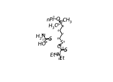 CCCO[Si](C)(C)CCCCSOC(=S)N(CC)CC.NC(O)=S